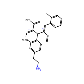 C=C/C(=C\c1ccccc1C)C(/C(=C\C)C(=C)CCC)c1ccc(CCN)cc1NC